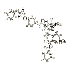 C[C@H](Cc1ccc(OCC(F)(F)Cc2ccccc2)cc1)NC[C@H](O[Si](C)(C)C(C)(C)C)c1ccc(OCc2ccccc2)c2[nH]c(=O)ccc12